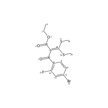 CCOC(=O)C(C(=O)c1ccc(Br)cc1F)=C(SC)SC